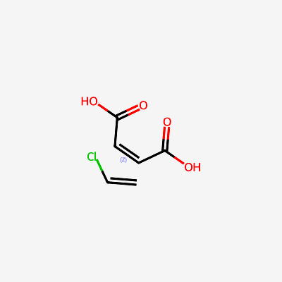 C=CCl.O=C(O)/C=C\C(=O)O